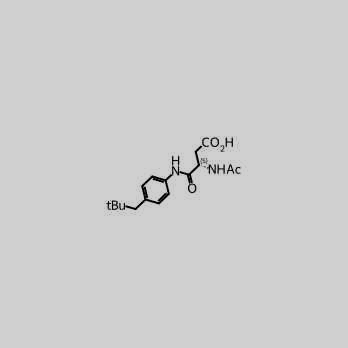 CC(=O)N[C@@H](CC(=O)O)C(=O)Nc1ccc(CC(C)(C)C)cc1